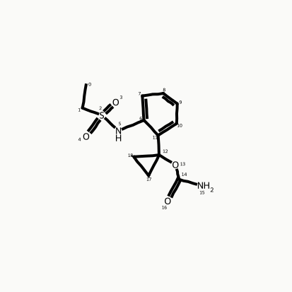 CCS(=O)(=O)Nc1ccccc1C1(OC(N)=O)CC1